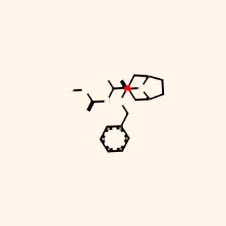 CC(C)(C)OC(=O)NC(C(=O)O)C1CC2CCC(C1)N2C(=O)OCc1ccccc1